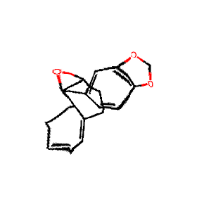 C1=CCC2C(=C1)CCC1OC12c1ccc2c(c1)OCO2